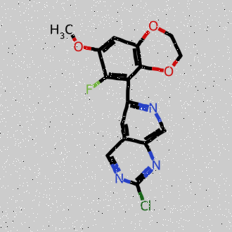 COc1cc2c(c(-c3cc4cnc(Cl)nc4cn3)c1F)OCCO2